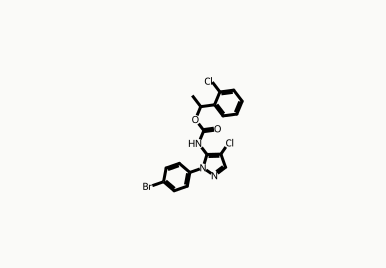 CC(OC(=O)Nc1c(Cl)cnn1-c1ccc(Br)cc1)c1ccccc1Cl